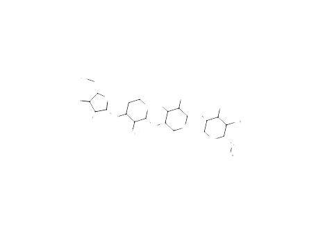 OC[C@@H]1O[C@@H](OC2C(O)[C@H](O[C@@H]3CO[C@@H](O[C@@H]4CO[C@@H](NO)C(O)C4O)C(O)C3O)OC[C@H]2O)[C@@H](O)C1O